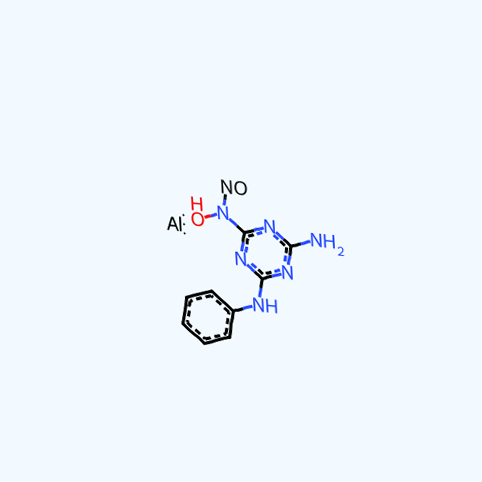 Nc1nc(Nc2ccccc2)nc(N(O)N=O)n1.[Al]